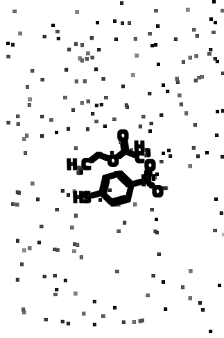 CCOC(C)=O.O=[N+]([O-])c1ccc(S)cc1